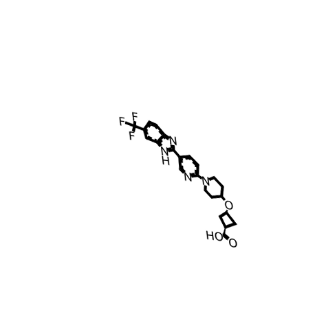 O=C(O)[C@H]1C[C@H](OC2CCN(c3ccc(-c4nc5ccc(C(F)(F)F)cc5[nH]4)cn3)CC2)C1